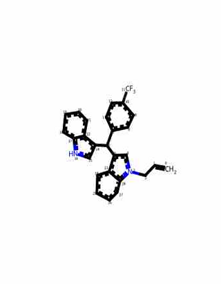 C=CCn1cc(C(c2ccc(C(F)(F)F)cc2)c2c[nH]c3ccccc23)c2ccccc21